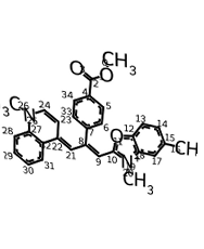 COC(=O)c1ccc(C(=C\c2oc3ccc(C)cc3[n+]2C)/C=C2\C=CN(C)c3ccccc32)cc1